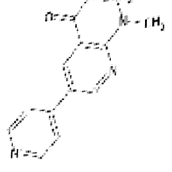 CN(C)c1ncc(-c2ccncc2)cc1C(N)=O